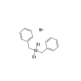 CC[N+](CC)(Cc1ccccc1)Cc1ccccc1.[Br-]